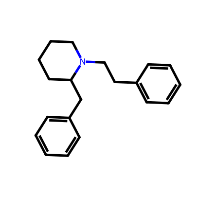 c1ccc(CCN2CCCCC2Cc2ccccc2)cc1